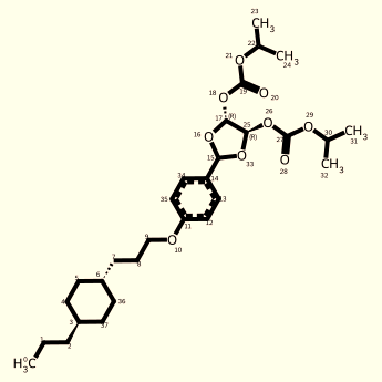 CCC[C@H]1CC[C@H](CCCOc2ccc(C3O[C@H](OC(=O)OC(C)C)[C@@H](OC(=O)OC(C)C)O3)cc2)CC1